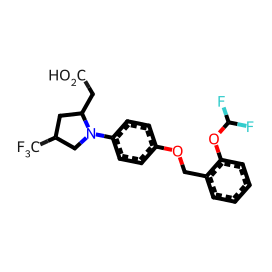 O=C(O)CC1CC(C(F)(F)F)CN1c1ccc(OCc2ccccc2OC(F)F)cc1